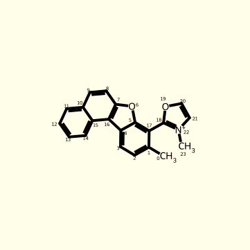 Cc1ccc2c(oc3ccc4ccccc4c32)c1-c1occ[n+]1C